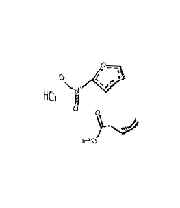 C=CC(=O)O.Cl.O=[N+]([O-])c1ccco1